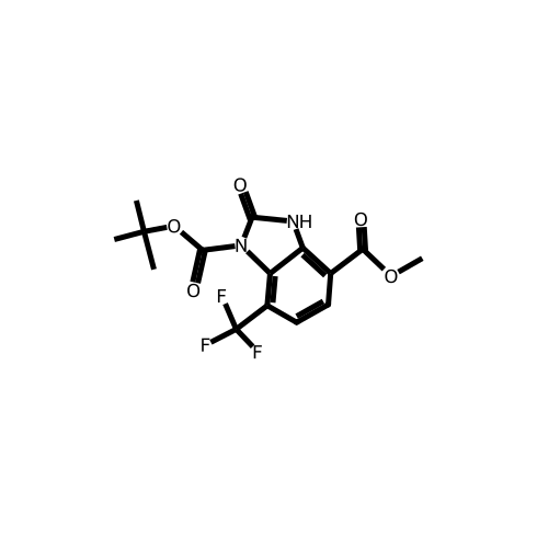 COC(=O)c1ccc(C(F)(F)F)c2c1[nH]c(=O)n2C(=O)OC(C)(C)C